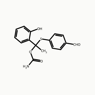 CC(OC(N)=O)(Sc1ccc(C=O)cc1)c1ccccc1O